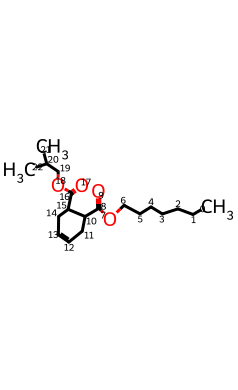 CCCCCCCOC(=O)C1CC=CCC1C(=O)OCC(C)C